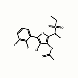 CCS(=O)(=O)N(C)c1oc(-c2cccc(F)c2F)c(O)c1OC(C)=O